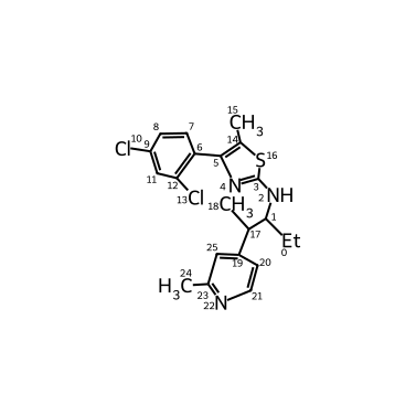 CCC(Nc1nc(-c2ccc(Cl)cc2Cl)c(C)s1)C(C)c1ccnc(C)c1